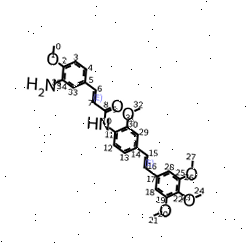 COc1ccc(/C=C/C(=O)Nc2ccc(/C=C/c3cc(OC)c(OC)c(OC)c3)cc2OC)cc1N